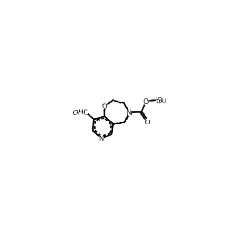 CC(C)(C)OC(=O)N1CCOc2c(C=O)cncc2C1